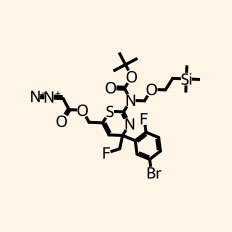 CC(C)(C)OC(=O)N(COCC[Si](C)(C)C)C1=NC(CF)(c2cc(Br)ccc2F)C=C(COC(=O)C=[N+]=[N-])S1